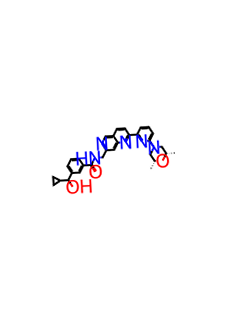 C[C@@H]1CN(c2cccc(-c3ccc4cnc(CNC(=O)c5cccc(C(O)C6CC6)c5)cc4n3)n2)C[C@H](C)O1